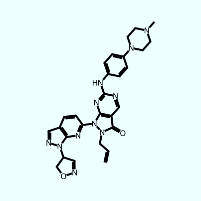 C=CCn1c(=O)c2cnc(Nc3ccc(N4CCN(C)CC4)cc3)nc2n1-c1ccc2cnn(C3C=NOC3)c2n1